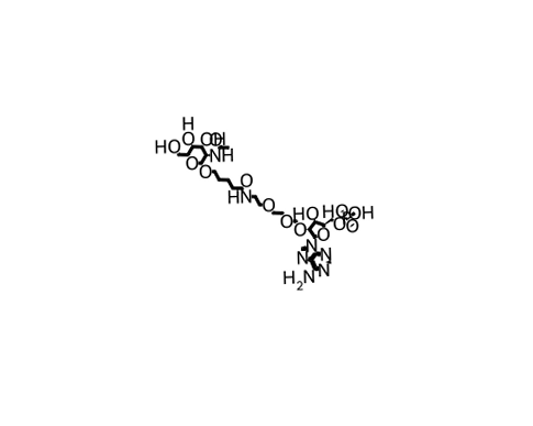 CC(=O)N[C@H]1[C@H](OCCCCC(=O)NCCOCCOCO[C@@H]2[C@H](O)[C@@H](COP(=O)(O)O)O[C@H]2n2cnc3c(N)ncnc32)OC(CO)[C@H](O)[C@@H]1O